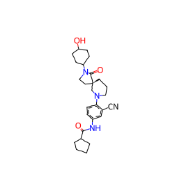 N#Cc1cc(NC(=O)C2CCCC2)ccc1N1CCC[C@]2(CCN(C3CCC(O)CC3)C2=O)C1